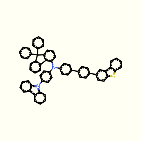 c1ccc(C2(c3ccccc3)c3ccccc3-c3c(N(c4ccc(-c5ccc(-c6ccc7sc8ccccc8c7c6)cc5)cc4)c4ccc(-n5c6ccccc6c6ccccc65)cc4)cccc32)cc1